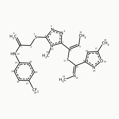 C=C(CSc1nnc(/C(=C\C)S/C(=N\C)c2cc(C)on2)n1C)Nc1ccc(C(F)(F)F)cc1